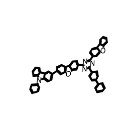 c1ccc(-c2ccc(-c3nc(-c4ccc5c(c4)oc4ccccc45)nc(-c4ccc5c(c4)oc4cc(-c6ccc7c(c6)c6ccccc6n7-c6ccccc6)ccc45)n3)cc2)cc1